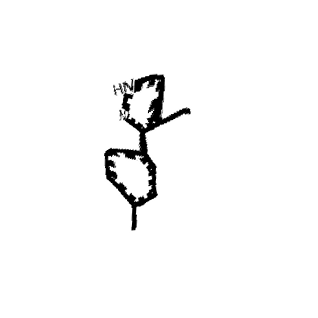 Cc1ccc(-c2n[nH]cc2C)cc1